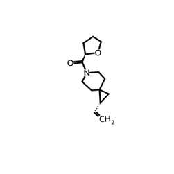 C=C[C@H]1CC12CCN(C(=O)[C@H]1CCCO1)CC2